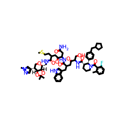 CSCCC(CC(=O)C(CC(N)=O)NC(=O)C(CC(=O)C(CO)NC(=O)[C@H]1CCCN(C(=O)c2c(C)cccc2F)[C@H]1c1ccc(CC2CCCC2)cc1)Cc1c[nH]c2ccccc12)C(=O)NC[C@H]1OC[C@@H](c2cnn(C)c2)[C@H]2OC(C)(C)O[C@H]21